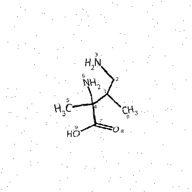 CC(CN)C(C)(N)C(=O)O